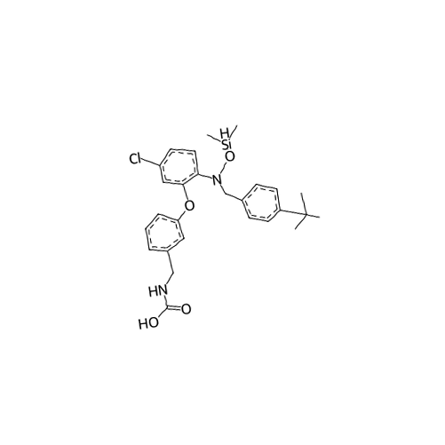 C[SiH](C)ON(Cc1ccc(C(C)(C)C)cc1)c1ccc(Cl)cc1Oc1cccc(CNC(=O)O)c1